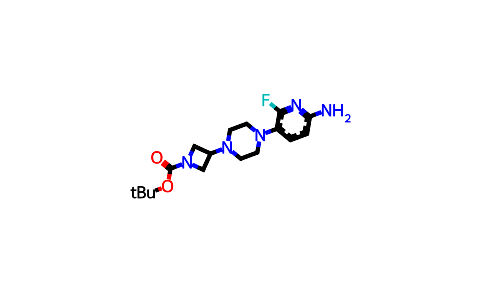 CC(C)(C)OC(=O)N1CC(N2CCN(c3ccc(N)nc3F)CC2)C1